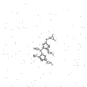 Cn1cc(C(O)c2cc(CC3CC3)nn2C)c(Br)n1